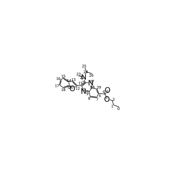 CCCOC(=O)c1ccc2nc(-c3cc4ccccc4o3)c(N(C)C(C)C)nc2c1